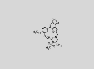 COc1ccc(-c2cn(C)c(=O)c3cc(CN4CCN(S(C)(=O)=O)[C@@H](C)C4)sc23)cc1OC